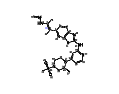 C=NN/C(C)=C(\C)c1ccc2nc(Nc3cc(N4CCN(S(C)(=O)=O)C[C@@H]4C)ccn3)sc2n1